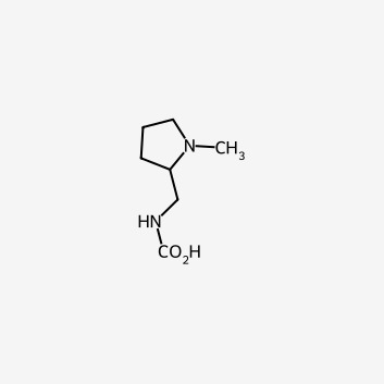 CN1CCCC1CNC(=O)O